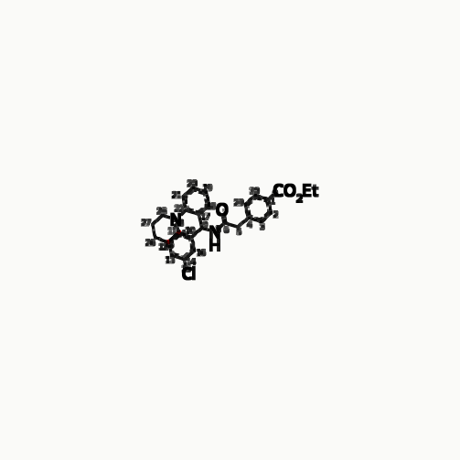 CCOC(=O)c1ccc(CC(=O)NC(c2cccc(Cl)c2)c2ccccc2N2CCCCC2)cc1